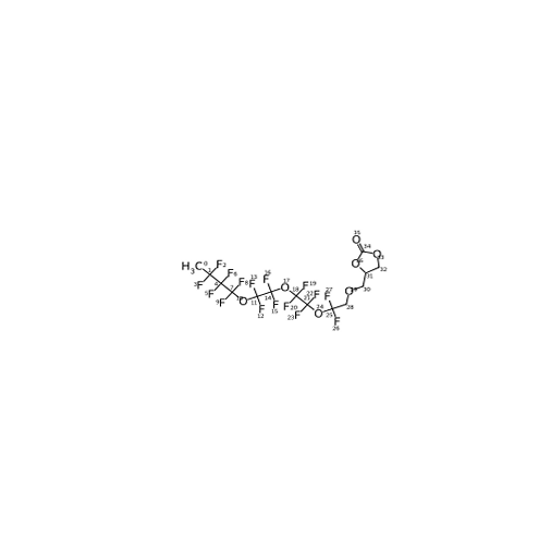 CC(F)(F)C(F)(F)C(F)(F)OC(F)(F)C(F)(F)OC(F)(F)C(F)(F)OC(F)(F)COCC1COC(=O)O1